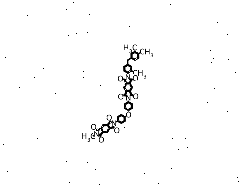 Cc1ccc(Cc2ccc(-n3c(=O)c4cc5c(=O)n(-c6ccc(Oc7ccc(-n8c(=O)c9cc%10c(=O)n(C)c(=O)c%10cc9c8=O)cc7)cc6)c(=O)c5cc4c3=O)c(C)c2)cc1C